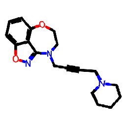 C(#CCN1CCOc2cccc3onc1c23)CN1CCCCC1